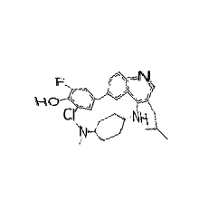 CC(C)Cc1cnc2ccc(-c3cc(F)c(O)c(Cl)c3)cc2c1N[C@H]1CC[C@H](N(C)C)CC1